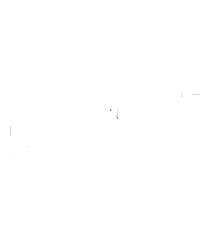 CCC(=O)c1cccc(-c2cccc(C(F)(F)F)c2)n1